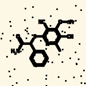 CCCOc1c(C#N)c(C)nc(SC(C(N)=O)c2ccccc2)c1C#N